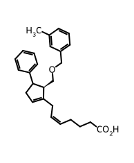 Cc1cccc(COC[C@H]2C(C/C=C\CCCC(=O)O)=CCC2c2ccccc2)c1